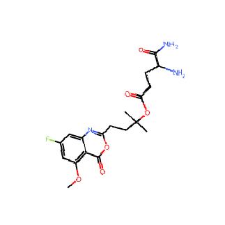 COc1cc(F)cc2nc(CCC(C)(C)OC(=O)CCC(N)C(N)=O)oc(=O)c12